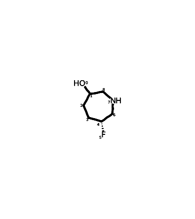 OC1CC[C@@H](F)CNC1